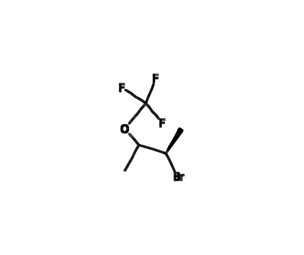 CC(OC(F)(F)F)[C@@H](C)Br